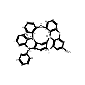 CC(C)(C)c1cc2c3c(c1)Oc1cccc4c1B3c1cc3c(cc1O2)N(c1ccccc1)c1cccc2c1B3c1c(cccc1O2)O4